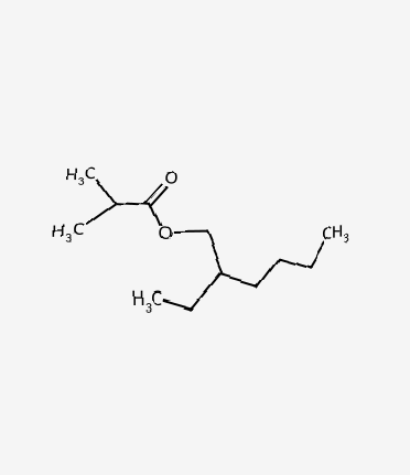 CCCCC(CC)COC(=O)C(C)C